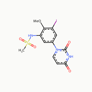 COc1c(I)cc(-n2ccc(=O)[nH]c2=O)cc1NS(C)(=O)=O